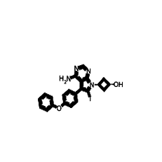 Nc1ncnc2c1c(-c1ccc(Oc3ccccc3)cc1)c(I)n2[C@H]1C[C@@H](O)C1